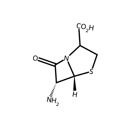 N[C@@H]1C(=O)N2C(C(=O)O)CS[C@H]12